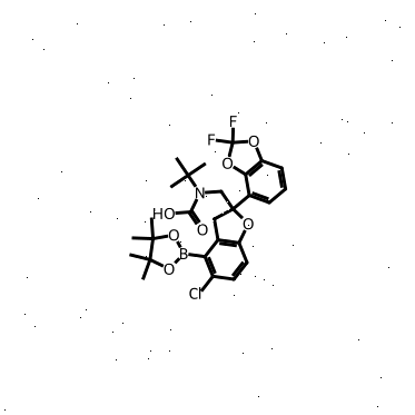 CC(C)(C)N(CC1(c2cccc3c2OC(F)(F)O3)Cc2c(ccc(Cl)c2B2OC(C)(C)C(C)(C)O2)O1)C(=O)O